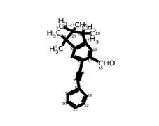 CC1(C)c2cc(C#Cc3ccccc3)c(C=O)cc2C(C)(C)C1(C)C